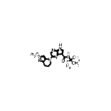 Cn1cc2c(n1)CCCN2c1cnc2[nH]cc(C(=O)NC(C)(C)C)c2n1